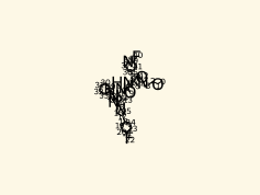 COCCN1C[C@@H](NC(=O)Nc2c(C)c(N3CC(c4ccc(F)cc4)C3)nn2-c2ccccc2)[C@H](c2ccnc(F)c2)O1